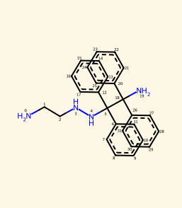 NCCNNC(c1ccccc1)(c1ccccc1)C(N)(c1ccccc1)c1ccccc1